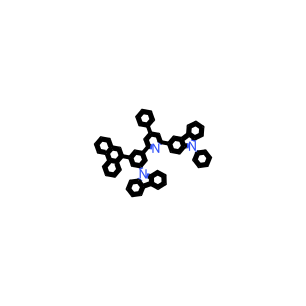 c1ccc(-c2cc(-c3cc(-c4cc5ccccc5c5ccccc45)cc(-n4c5ccccc5c5ccccc54)c3)nc(-c3ccc4c(c3)c3ccccc3n4-c3ccccc3)c2)cc1